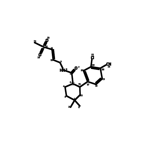 CC1(C)CCN(C(=O)NCC=CS(C)(=O)=O)C(c2ccc(C#N)c(Cl)c2)C1